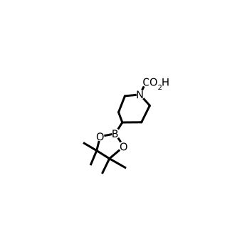 CC1(C)OB(C2CCN(C(=O)O)CC2)OC1(C)C